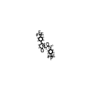 CN(C(=O)CN1N=C(c2ccc(C(F)(F)F)cc2)CCC1=O)c1ccc(C(F)(F)F)cc1